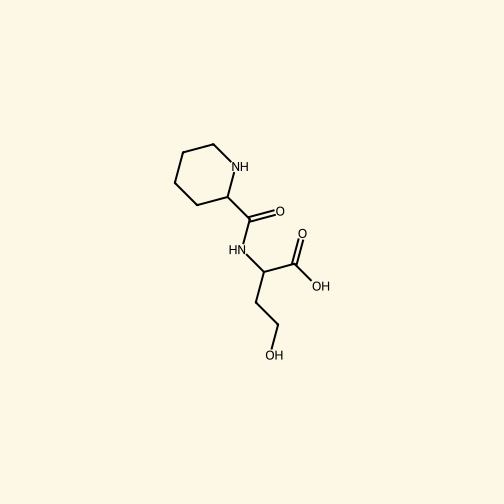 O=C(O)C(CCO)NC(=O)C1CCCCN1